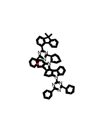 CC1(C)c2ccccc2-c2c(-c3nc(-c4ccccc4)nc(-c4ccccc4-n4c5ccccc5c5ccc6c(c7ccccc7n6-c6nc(-c7ccccc7)nc(-c7ccccc7)n6)c54)n3)cccc21